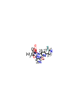 CC[C@]1(O)[C@H](O)C[C@H](c2ccncc2NC(=O)c2nc(-c3ccncc3F)ccc2N)O[C@@H]1C